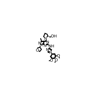 COc1cc(-n2cnc(Nc3nc(N4CCC[C@H]4CO)c4c(C)nn(C5CCOC5)c4n3)c2)cc(OC)c1OC